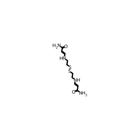 NC(=O)C=CNCCSSCCNC=CC(N)=O